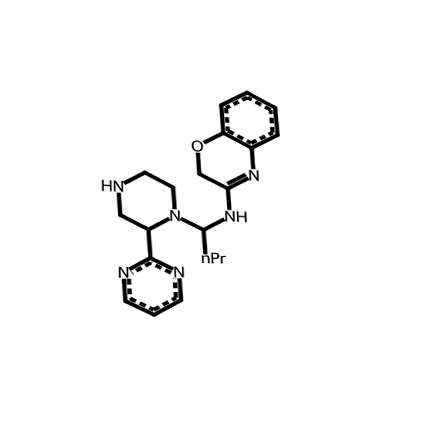 CCCC(NC1=Nc2ccccc2OC1)N1CCNCC1c1ncccn1